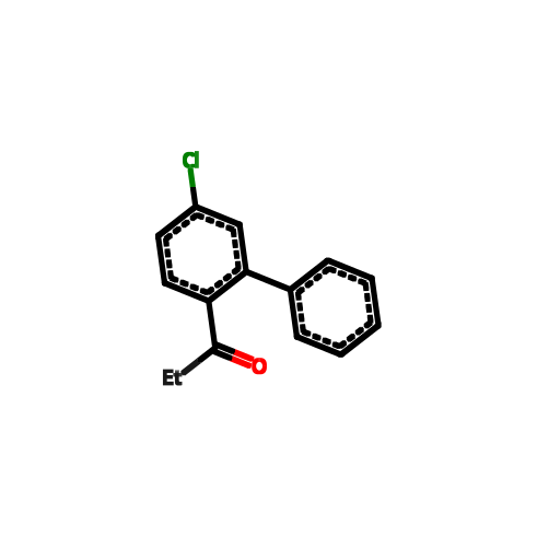 CCC(=O)c1ccc(Cl)cc1-c1ccccc1